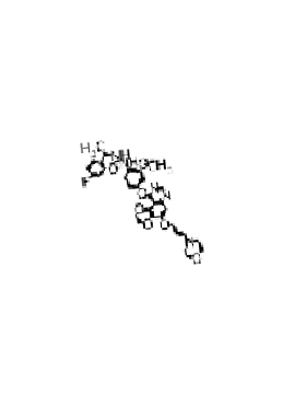 COc1cc(Oc2ncnc3cc(OCCCN4CCOCC4)c4c(c23)OCCO4)ccc1NC(=O)NC(C)c1ccc(F)cc1